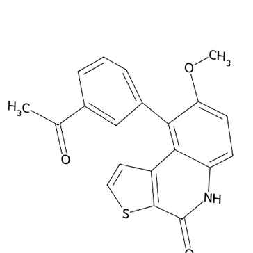 COc1ccc2[nH]c(=O)c3sccc3c2c1-c1cccc(C(C)=O)c1